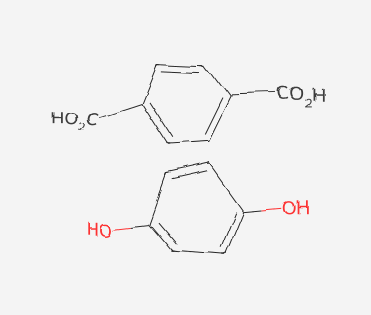 O=C(O)c1ccc(C(=O)O)cc1.Oc1ccc(O)cc1